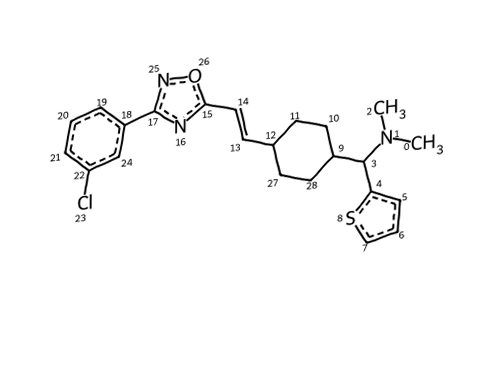 CN(C)C(c1cccs1)C1CCC(C=Cc2nc(-c3cccc(Cl)c3)no2)CC1